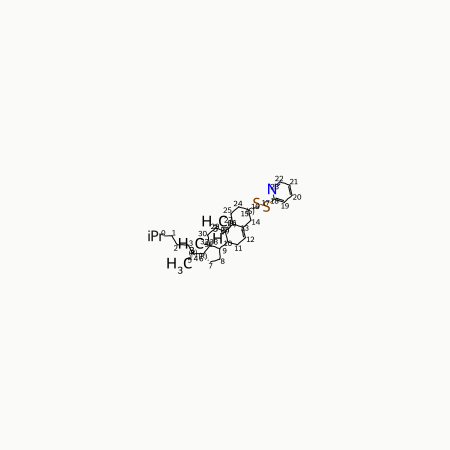 CC(C)CCC[C@@H](C)[C@H]1CCC2C3CC=C4C[C@@H](SSc5ccccn5)CC[C@]4(C)[C@H]3CCC21C